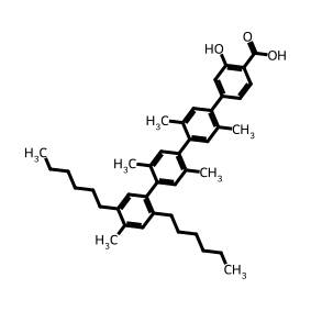 CCCCCCc1cc(-c2cc(C)c(-c3cc(C)c(-c4ccc(C(=O)O)c(O)c4)cc3C)cc2C)c(CCCCCC)cc1C